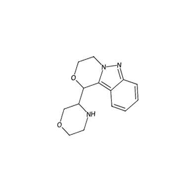 c1ccc2c3n(nc2c1)CCOC3C1COCCN1